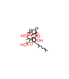 CC(C)=CCC/C(C)=C/Cc1c(O)c2c(c3c1O[C@@H](C(C)(C)O)C3)O[C@]13C(=C[C@@H]4C[C@H]1C(C)(C)O[C@@]3(C/C=C(/C)C(=O)O)C4=O)C2=O